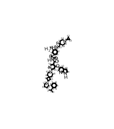 CC(C)c1ccccc1[C@@H]1CCCN1C1CC2(CCN(c3cc(Oc4cnc5[nH]ccc5c4)c(C(=O)NS(=O)(=O)c4ccc(NCC5(F)CCN(C6CC6)CC5)c(N)c4)cn3)CC2)C1